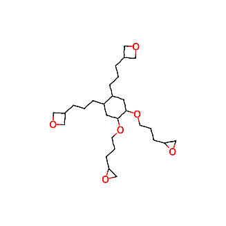 C(COC1CC(CCCC2COC2)C(CCCC2COC2)CC1OCCCC1CO1)CC1CO1